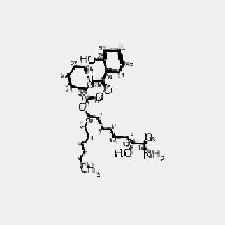 CCCCCC[C@H](CCCCC[C@@H](O)C(N)=O)OC(=O)[C@@H]1CCCCN1C(=O)c1ccccc1O